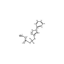 CC(C)(CC(=O)OC(C)(C)C)CC1=NC(c2ccccc2)CO1